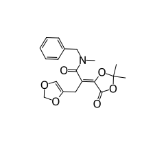 CN(Cc1ccccc1)C(=O)C(CC1=COCO1)=C1OC(C)(C)OC1=O